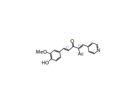 COc1cc(/C=C/C(=O)/C(=C/c2ccncc2)C(C)=O)ccc1O